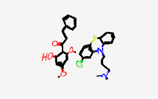 CN(C)CCCN1c2ccccc2Sc2ccc(Cl)cc21.COc1cc(O)c(C(=O)C=Cc2ccccc2)c(OC)c1